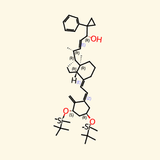 C=C1/C(=C\C=C2/CCC[C@]3(C)[C@@H]([C@H](C)/C=C/[C@@H](O)C4(c5ccccc5)CC4)CC[C@@H]23)C[C@@H](O[Si](C)(C)C(C)(C)C)C[C@@H]1O[Si](C)(C)C(C)(C)C